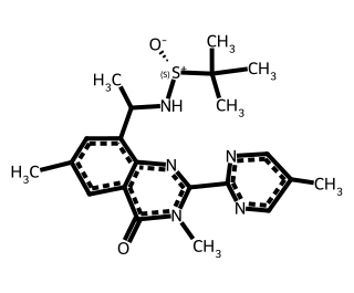 Cc1cnc(-c2nc3c(C(C)N[S@+]([O-])C(C)(C)C)cc(C)cc3c(=O)n2C)nc1